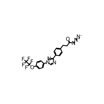 [N-]=[N+]=NC(=O)CCc1ccc(-c2ncn(-c3ccc(OC(F)(F)C(F)(F)F)cc3)n2)cc1